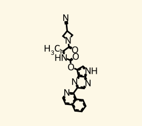 C[C@@H](NC(=O)Oc1c[nH]c2ncc(-c3nccc4ccccc34)nc12)C(=O)N1CC(C#N)C1